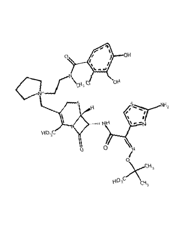 CN(CC[N+]1(CC2=C(C(=O)O)N3C(=O)[C@@H](NC(=O)/C(=N\OC(C)(C)C(=O)O)c4csc(N)n4)[C@H]3SC2)CCCC1)C(=O)c1ccc(O)c(O)c1Cl